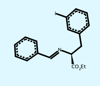 CCOC(=O)[C@H](Cc1cccc(I)c1)/N=C/c1ccccc1